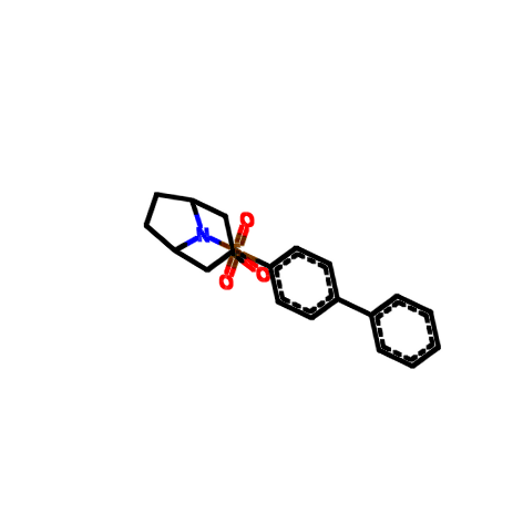 O=C1CC2CCC(C1)N2S(=O)(=O)c1ccc(-c2ccccc2)cc1